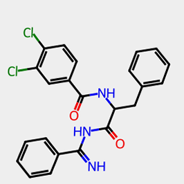 N=C(NC(=O)C(Cc1ccccc1)NC(=O)c1ccc(Cl)c(Cl)c1)c1ccccc1